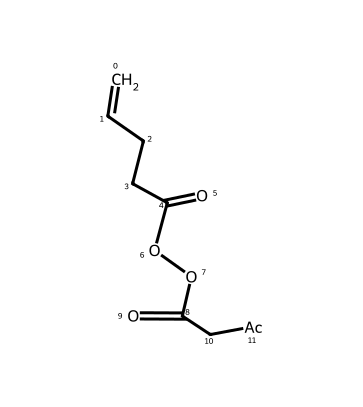 C=CCCC(=O)OOC(=O)CC(C)=O